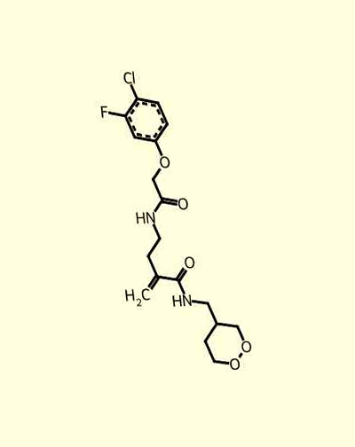 C=C(CCNC(=O)COc1ccc(Cl)c(F)c1)C(=O)NCC1CCOOC1